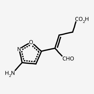 Nc1cc(C(C=O)=CCC(=O)O)on1